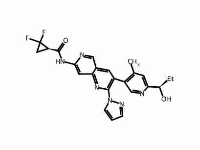 CC[C@@H](O)c1cc(C)c(-c2cc3cnc(NC(=O)[C@H]4CC4(F)F)cc3nc2-n2cccn2)cn1